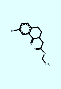 CCOC(=O)CC1CCc2ccc(Br)cc2C1=O